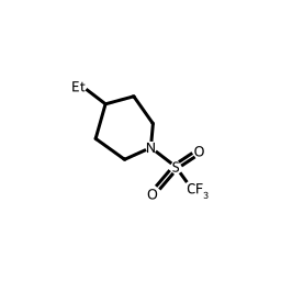 CCC1CCN(S(=O)(=O)C(F)(F)F)CC1